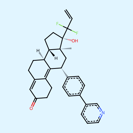 C=CC(F)(F)[C@]1(O)CC[C@H]2[C@@H]3CCC4=CC(=O)CCC4=C3[C@@H](c3ccc(-c4cccnc4)cc3)C[C@@]21C